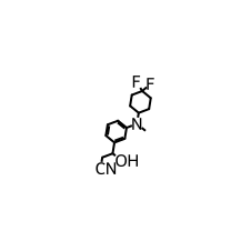 CN(c1cccc(C(O)CC#N)c1)C1CCC(F)(F)CC1